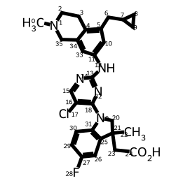 CN1CCc2c(CC3CC3)cc(Nc3ncc(Cl)c(N4CC(C)(CC(=O)O)c5cc(F)ccc54)n3)cc2C1